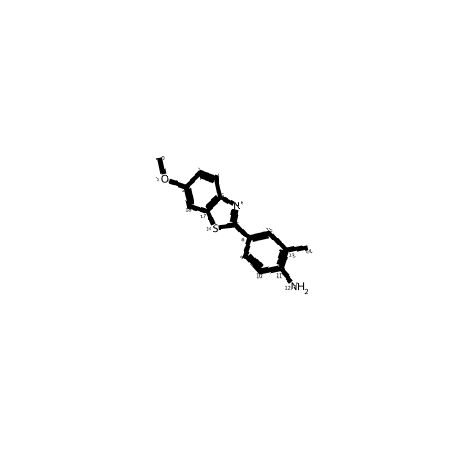 COc1ccc2nc(-c3ccc(N)c(C)c3)sc2c1